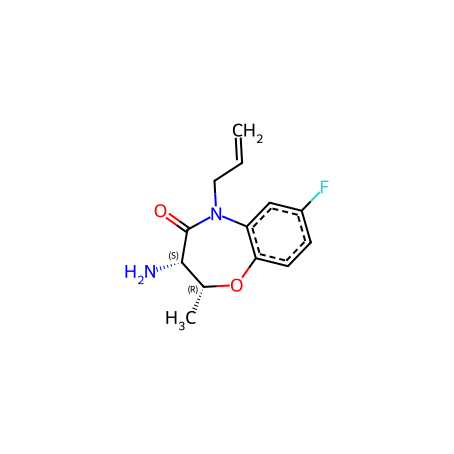 C=CCN1C(=O)[C@@H](N)[C@@H](C)Oc2ccc(F)cc21